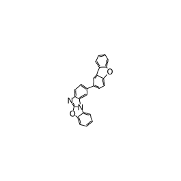 c1ccc2c(c1)oc1ccc(-c3ccc4nc5oc6ccccc6n5c4c3)cc12